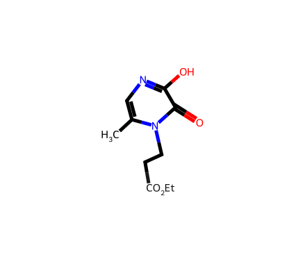 CCOC(=O)CCn1c(C)cnc(O)c1=O